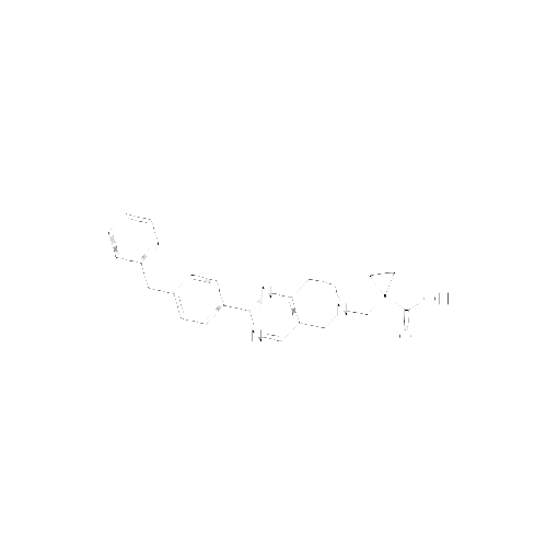 O=C(O)C1(CN2CCc3nc(-c4ccc(Cc5ccccc5)cc4)ncc3C2)CC1